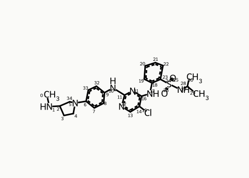 CNC1CCN(c2ccc(Nc3ncc(Cl)c(Nc4ccccc4S(=O)(=O)NC(C)C)n3)cc2)C1